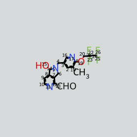 Cc1cc(CN2Cc3c(ccnc3C=O)C2O)cnc1OCC(F)(F)C(F)F